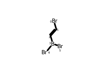 Br/C=C/B(Br)Br